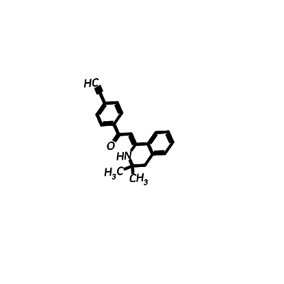 C#Cc1ccc(C(=O)C=C2NC(C)(C)Cc3ccccc32)cc1